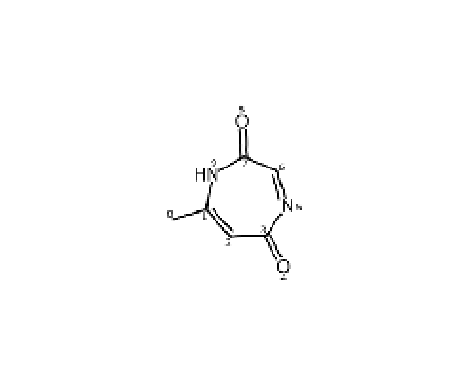 Cc1cc(=O)ncc(=O)[nH]1